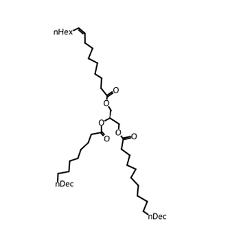 CCCCCC/C=C\CCCCCCCC(=O)OC[C@@H](COC(=O)CCCCCCCCCCCCCCCCCCC)OC(=O)CCCCCCCCCCCCCCCCC